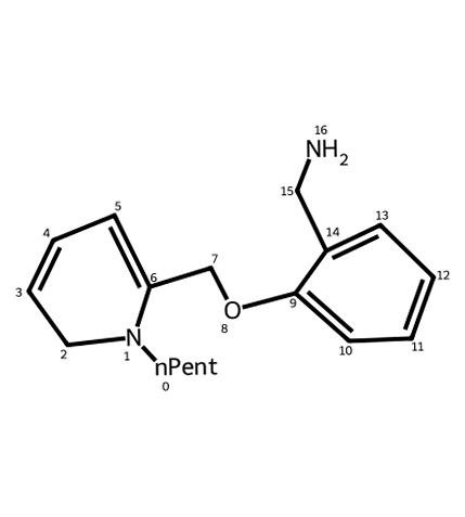 CCCCCN1CC=CC=C1COc1ccccc1CN